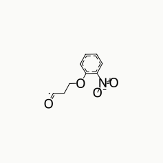 O=[C]CCOc1ccccc1[N+](=O)[O-]